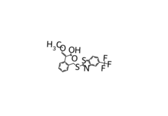 COC=C(C(=O)O)c1ccccc1CSc1nc2cc(C(F)(F)F)ccc2s1